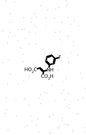 O=C(O)C=C(Nc1cccc(F)c1)C(=O)O